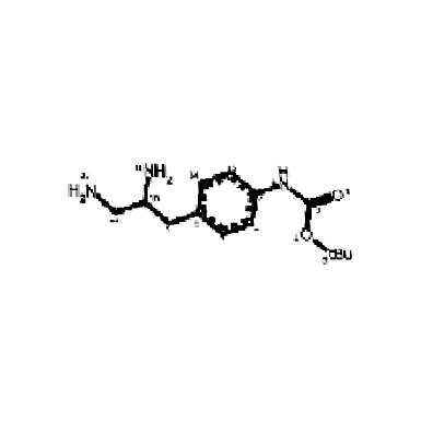 CC(C)(C)OC(=O)Nc1ccc(CC(N)CN)cc1